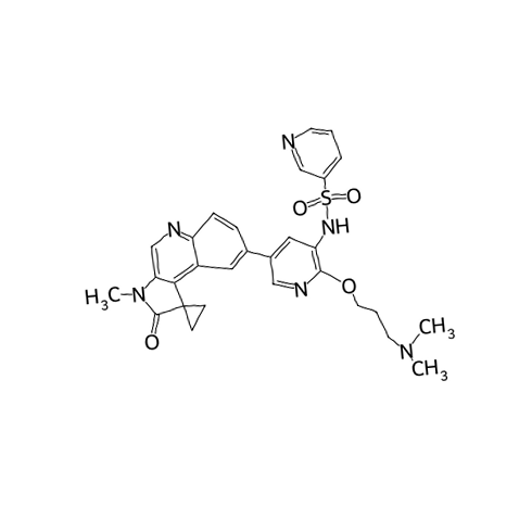 CN(C)CCCOc1ncc(-c2ccc3ncc4c(c3c2)C2(CC2)C(=O)N4C)cc1NS(=O)(=O)c1cccnc1